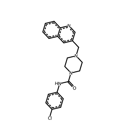 O=C(Nc1ccc(Cl)cc1)N1CCN(Cc2cnc3ccccc3c2)CC1